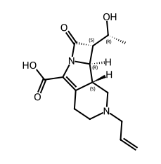 C=CCN1CCC2=C(C(=O)O)N3C(=O)[C@H]([C@@H](C)O)[C@H]3[C@@H]2C1